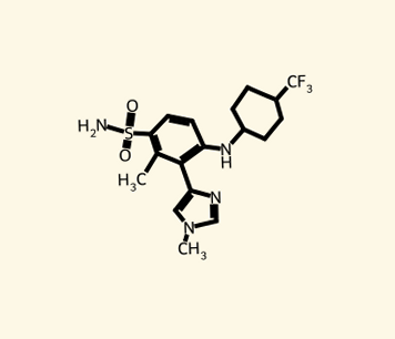 Cc1c(S(N)(=O)=O)ccc(NC2CCC(C(F)(F)F)CC2)c1-c1cn(C)cn1